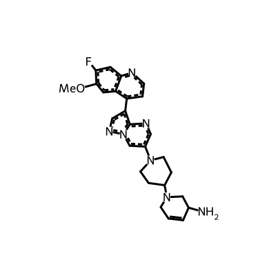 COc1cc2c(-c3cnn4cc(N5CCC(N6CC=CC(N)C6)CC5)cnc34)ccnc2cc1F